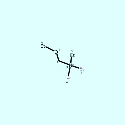 CCOC[N+](CC)(CC)CC